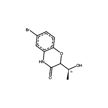 C[C@H](O)C1Oc2ccc(Br)cc2NC1=O